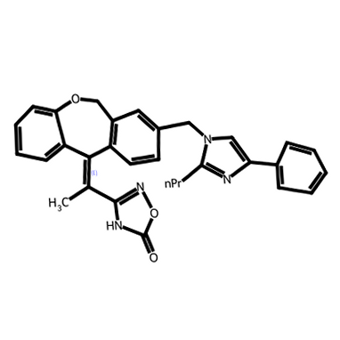 CCCc1nc(-c2ccccc2)cn1Cc1ccc2c(c1)COc1ccccc1/C2=C(\C)c1noc(=O)[nH]1